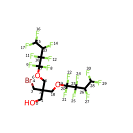 OCC(CBr)(COC(F)(F)C(F)(F)C(F)C(F)F)COC(F)(F)C(F)(F)C(F)C(F)F